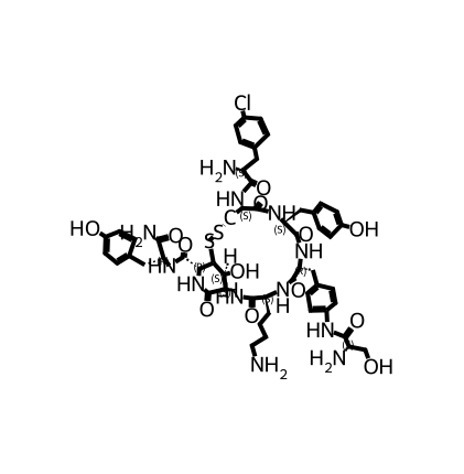 NCCCC[C@@H]1NC(=O)[C@@H](Cc2ccc(NC(=O)[C@@H](N)CO)cc2)NC(=O)[C@H](Cc2ccc(O)cc2)NC(=O)[C@H](NC(=O)[C@@H](N)Cc2ccc(Cl)cc2)CSSC2[C@@H](C(=O)N[C@H](Cc3ccc(O)cc3)C(N)=O)NC(=O)[C@@H](NC1=O)[C@@H]2O